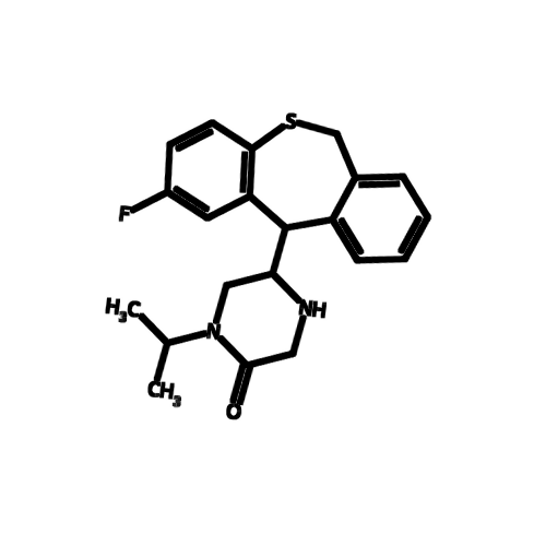 CC(C)N1CC(C2c3ccccc3CSc3ccc(F)cc32)NCC1=O